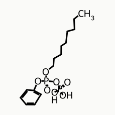 CCCCCCCCCOP(=O)(Oc1ccccc1)OP(=O)(O)O